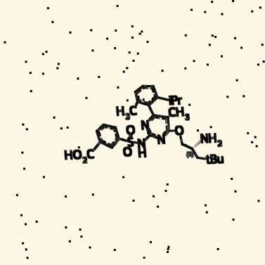 Cc1cccc(C(C)C)c1-c1nc(NS(=O)(=O)c2cccc(C(=O)O)c2)nc(OC[C@H](N)CC(C)(C)C)c1C